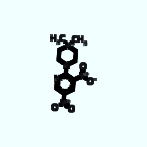 C[N+]1(C)CCN(c2ncc([N+](=O)[O-])cc2[N+](=O)[O-])CC1